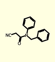 N#CCC(=O)N(Cc1ccccc1)c1ccccc1